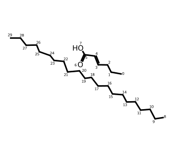 CCCC=CC(=O)O.CCCCCCCCCCCCCCCCCCCCCC